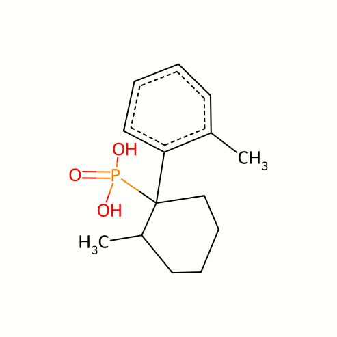 Cc1ccccc1C1(P(=O)(O)O)CCCCC1C